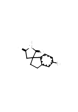 O=C1CC2(CCc3cc(Br)ccc32)C(=O)N1